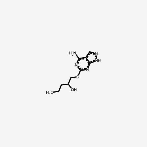 CCCC(O)COc1nc(N)c2cn[nH]c2n1